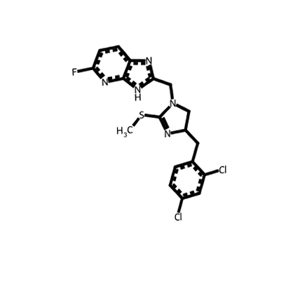 CSC1=NC(Cc2ccc(Cl)cc2Cl)CN1Cc1nc2ccc(F)nc2[nH]1